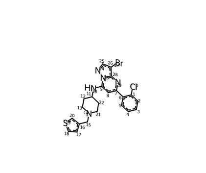 Clc1ccccc1-c1cc(NC2CCN(Cc3ccsc3)CC2)n2ncc(Br)c2n1